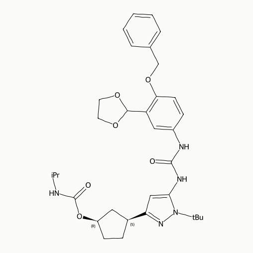 CC(C)NC(=O)O[C@@H]1CC[C@H](c2cc(NC(=O)Nc3ccc(OCc4ccccc4)c(C4OCCO4)c3)n(C(C)(C)C)n2)C1